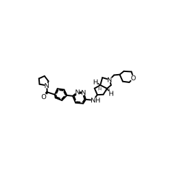 O=C(c1ccc(-c2ccc(NC3C[C@@H]4CN(CC5CCOCC5)C[C@@H]4C3)nn2)cc1)N1CCCC1